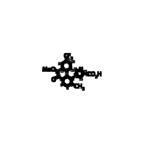 CON(C(=O)c1ccc(C)c(-n2cnc(C(=O)O)c2)c1)c1cccc(C(F)(F)F)c1